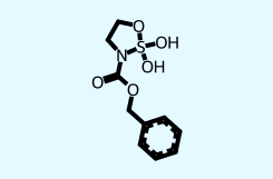 O=C(OCc1ccccc1)N1CCOS1(O)O